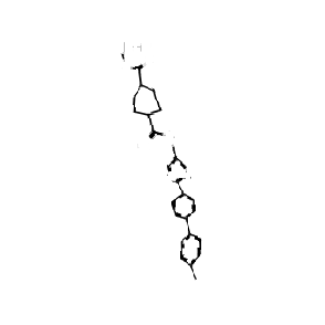 CCCC(C)OC(=O)C1CCC(C(=O)Oc2cnc(-c3ccc(-c4ccc(C)cc4)cc3)nc2)CC1